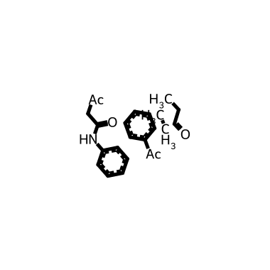 CC.CC(=O)CC(=O)Nc1ccccc1.CC(=O)c1ccccc1.CCC=O